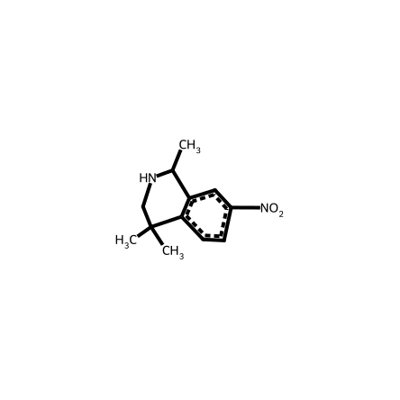 CC1NCC(C)(C)c2ccc([N+](=O)[O-])cc21